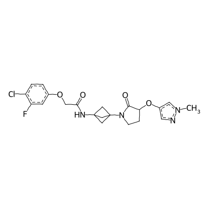 Cn1cc(OC2CCN(C34CC(NC(=O)COc5ccc(Cl)c(F)c5)(C3)C4)C2=O)cn1